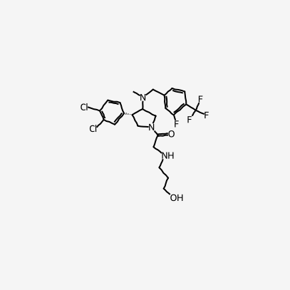 CN(Cc1ccc(C(F)(F)F)c(F)c1)C1CN(C(=O)CNCCCO)C[C@@H]1c1ccc(Cl)c(Cl)c1